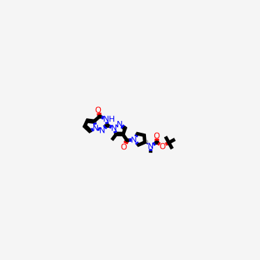 Cc1c(C(=O)N2CC[C@H](N(C)C(=O)OC(C)(C)C)C2)cnn1-c1nn2cccc2c(=O)[nH]1